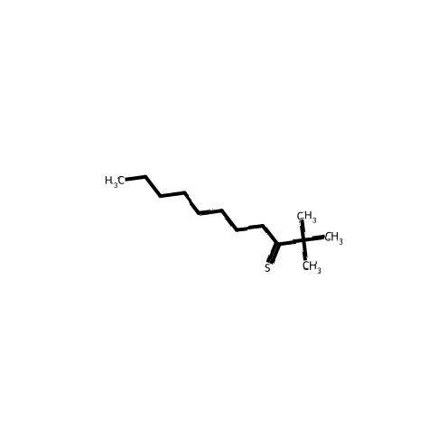 CCCCCCCCC(=S)C(C)(C)C